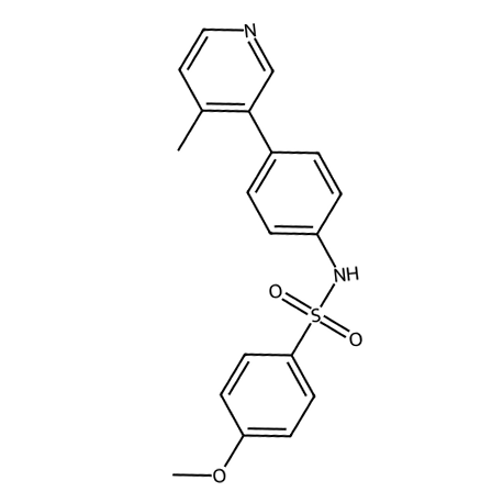 COc1ccc(S(=O)(=O)Nc2ccc(-c3cnccc3C)cc2)cc1